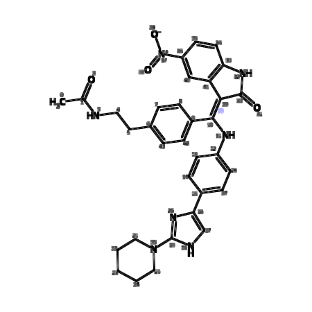 CC(=O)NCCc1ccc(/C(Nc2ccc(-c3c[nH]c(N4CCCCC4)n3)cc2)=C2/C(=O)Nc3ccc([N+](=O)[O-])cc32)cc1